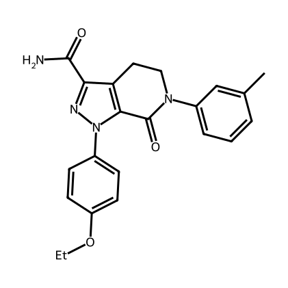 CCOc1ccc(-n2nc(C(N)=O)c3c2C(=O)N(c2cccc(C)c2)CC3)cc1